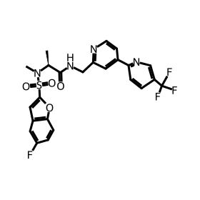 C[C@@H](C(=O)NCc1cc(-c2ccc(C(F)(F)F)cn2)ccn1)N(C)S(=O)(=O)c1cc2cc(F)ccc2o1